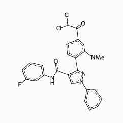 CNc1cc(C(=O)C(Cl)Cl)ccc1-c1nn(-c2ccccc2)cc1C(=O)Nc1cccc(F)c1